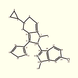 CN1C2=CCC(C3CC3)CC2=C(C2=NCC=C2)N1c1nn(C)c2cc(Cl)ccc12